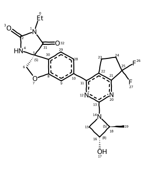 CCN1C(=O)N[C@@]2(COc3cc(-c4nc(N5C[C@@H](O)[C@@H]5C)nc5c4CCC5(F)F)ccc32)C1=O